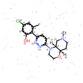 CCN1CC[C@@H]2OCCN(c3ccc(-c4c(C)cc(Cl)cc4O)nn3)[C@@H]2C1